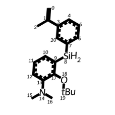 C=C(C)c1cccc([SiH2]c2cccc(N(C)C)c2OC(C)(C)C)c1